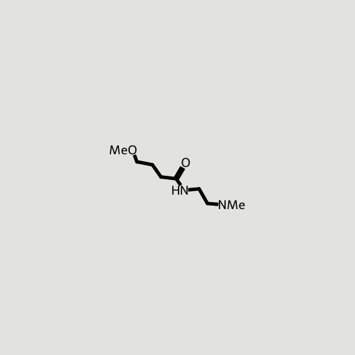 CNCCNC(=O)CCCOC